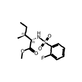 CC[C@H](C)[C@H](NS(=O)(=O)c1ccccc1F)C(=O)OC